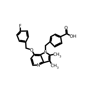 Cc1c(C)n(Cc2ccc(C(=O)O)cc2)c2c(OCc3ccc(F)cc3)ccnc12